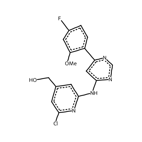 COc1cc(F)ccc1-c1cc(Nc2cc(CO)cc(Cl)n2)ncn1